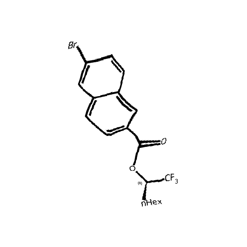 CCCCCC[C@@H](OC(=O)c1ccc2cc(Br)ccc2c1)C(F)(F)F